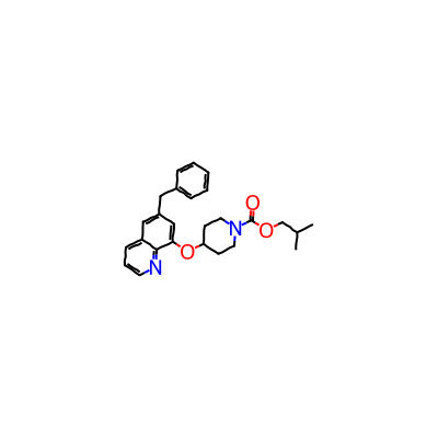 CC(C)COC(=O)N1CCC(Oc2cc(Cc3ccccc3)cc3cccnc23)CC1